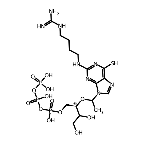 CC(O[C@H](COP(=O)(O)OP(=O)(O)OP(=O)(O)O)C(O)CO)n1cnc2c(S)nc(NCCCCNC(=N)N)nc21